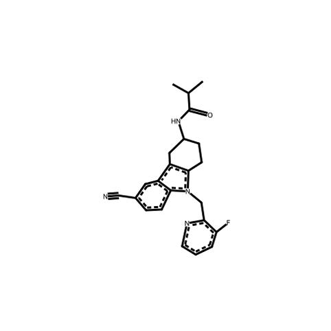 CC(C)C(=O)NC1CCc2c(c3cc(C#N)ccc3n2Cc2ncccc2F)C1